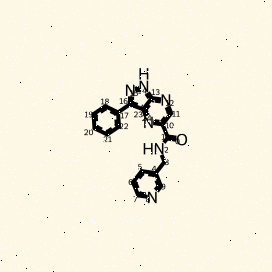 O=C(NCc1cccnc1)c1cnc2[nH]nc(-c3ccccc3)c2n1